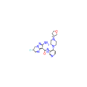 Nc1nn2c(c1C(=O)Nc1cnccc1N1CCN([C@H]3CCOC3)CC1)N=CC(F)C2